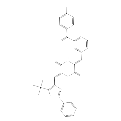 CC(C)(C)c1oc(-c2ccccc2)nc1C=c1[nH]c(=O)c(=Cc2cccc(C(=O)c3ccc(F)cc3)c2)[nH]c1=O